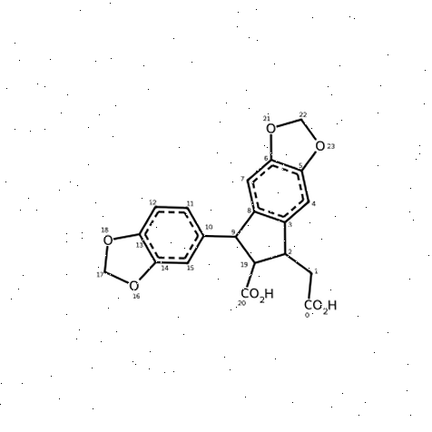 O=C(O)CC1c2cc3c(cc2C(c2ccc4c(c2)OCO4)C1C(=O)O)OCO3